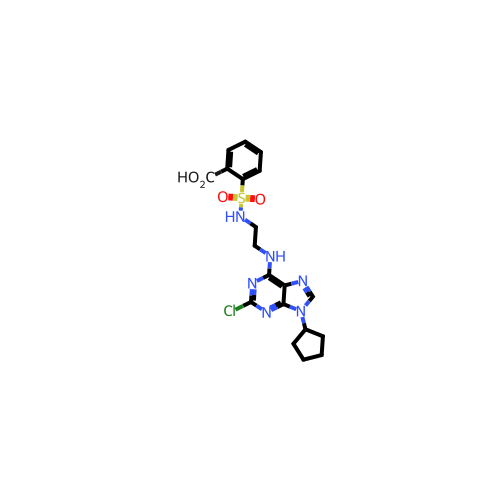 O=C(O)c1ccccc1S(=O)(=O)NCCNc1nc(Cl)nc2c1ncn2C1CCCC1